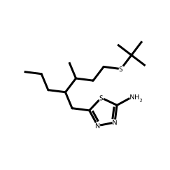 CCCC(Cc1nnc(N)s1)C(C)CCSC(C)(C)C